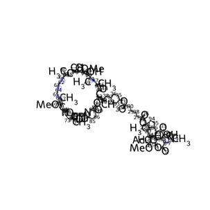 COC[C@H]1OC(=O)/C(=C/N(C)C)C2=C(O)C(=O)C3=C([C@H](OC(C)=O)C[C@]4(C)C(OC(=O)CCCCC(=O)OC5CCC(C[C@@H](C)[C@@H]6CC(=O)[C@H](C)/C=C(\C)[C@@H](O)[C@@H](OC)C(=O)[C@H](C)C[C@H](C)/C=C/C=C/C=C(\C)[C@@H](OC)C[C@@H]7CC[C@@H](C)[C@@](O)(O7)C(=O)C(=O)N7CCCCC7C(=O)O6)CC5)CCC34)[C@]21C